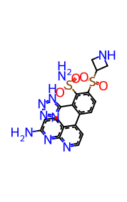 Nc1ccc2c(-c3ccc(S(=O)(=O)C4CNC4)c(S(N)(=O)=O)c3-c3nnn[nH]3)ccnc2n1